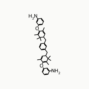 CC1=CC(Cc2cccc(CC3C=C(C)C(Oc4cccc(N)c4)=C(C)C3(C)C)c2)C(C)(C)C(C)=C1Oc1cccc(N)c1